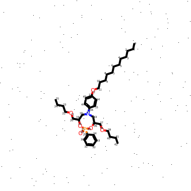 CCCCCCCCCCCCOc1ccc(N2CC(COCCCC)OP(=O)(c3ccccc3)OC(COCCCC)C2)cc1